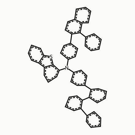 c1ccc(-c2ccccc2-c2ccccc2-c2ccc(N(c3ccc(-c4ccc5ccccc5c4-c4ccccc4)cc3)c3cccc4c3sc3ccccc34)cc2)cc1